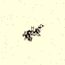 COCCn1cc(C(=O)Nc2cccc(-c3nncn3[C@H](C)C(F)(F)F)n2)c(OC)n1